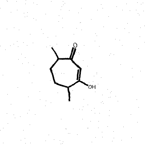 CC1CCC(C)C(O)=CC1=O